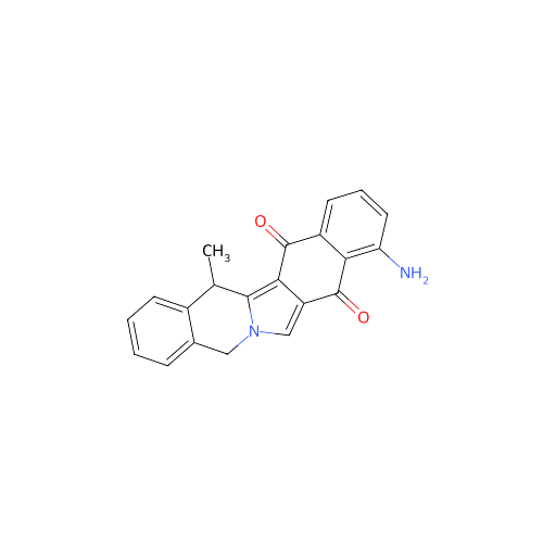 CC1c2ccccc2Cn2cc3c(c21)C(=O)c1cccc(N)c1C3=O